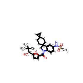 CC(C)(C)[C@@H](O)c1ccc(C(=O)N2CC3(CCC4(CC4)CC3)c3cc(NS(C)(=O)=O)ccc32)o1